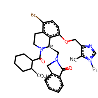 CCn1cnc(COc2ccc(Br)c3c2[C@@H](CN2Cc4ccccc4C2=O)N(C(=O)C2CCCCC2C(=O)O)CC3)c1C#N